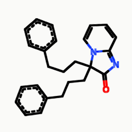 O=C1N=C2C=CC=CN2C1(CCCc1ccccc1)CCCc1ccccc1